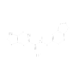 Cl.O=C(NCc1ccc2c(c1)OCO2)c1cc2cc[nH]c2cn1